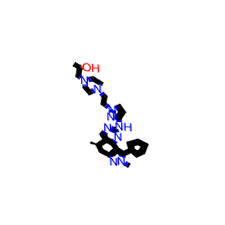 CC(O)CN1CCN(CCn2ccc(Nc3ncc4c(n3)-c3c(nn(C)c3-c3ccccc3)C[C@H]4C)n2)CC1